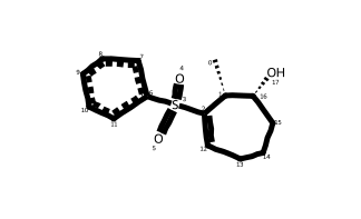 C[C@H]1C(S(=O)(=O)c2ccccc2)=CCCC[C@H]1O